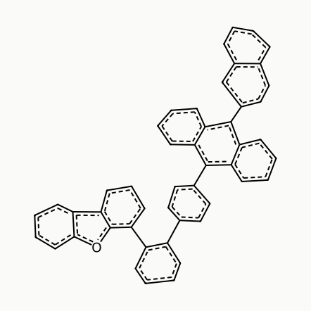 c1ccc(-c2cccc3c2oc2ccccc23)c(-c2ccc(-c3c4ccccc4c(-c4ccc5ccccc5c4)c4ccccc34)cc2)c1